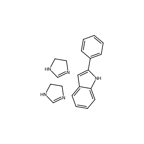 C1=NCCN1.C1=NCCN1.c1ccc(-c2cc3ccccc3[nH]2)cc1